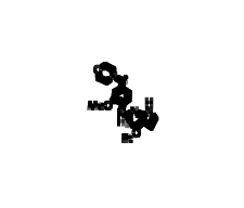 CCOc1nc(Nc2ccc([C@H](C)N3CCOCC3)cc2OC)nc2[nH]ccc12